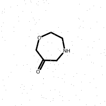 O=C1CNCCOC1